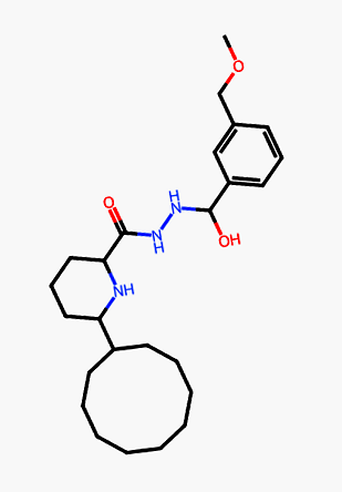 COCc1cccc(C(O)NNC(=O)C2CCCC(C3CCCCCCCCC3)N2)c1